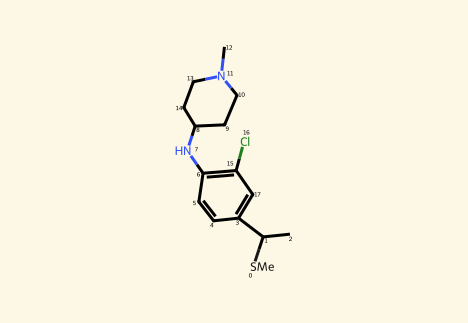 CSC(C)c1ccc(NC2CCN(C)CC2)c(Cl)c1